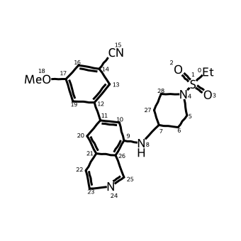 CCS(=O)(=O)N1CCC(Nc2cc(-c3cc(C#N)cc(OC)c3)cc3ccncc23)CC1